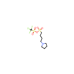 O=S(=O)(CCCCN1CCCC1)OS(=O)(=O)C(F)(F)F